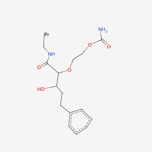 CC(C)CNC(=O)C(OCCOC(N)=O)C(O)[CH]Cc1ccccc1